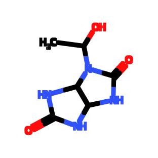 CC(O)N1C(=O)NC2NC(=O)NC21